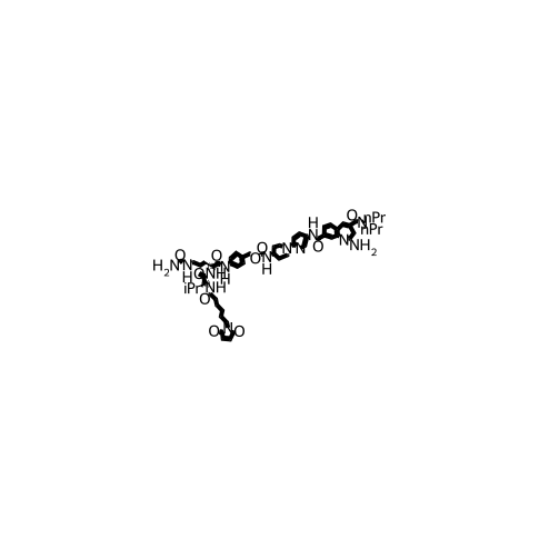 CCCN(CCC)C(=O)C1=Cc2ccc(C(=O)Nc3ccc(N4CCC(NC(=O)OCc5ccc(NC(=O)[C@H](CCCNC(N)=O)NC(=O)[C@@H](NC(=O)CCCCCN6C(=O)C=CC6=O)C(C)C)cc5)CC4)nc3)cc2N=C(N)C1